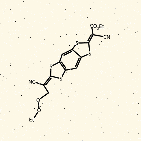 CCOOCC(C#N)=C1Sc2cc3c(cc2S1)SC(=C(C#N)C(=O)OCC)S3